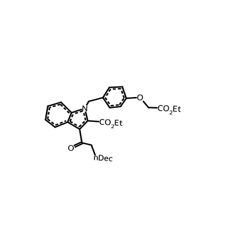 CCCCCCCCCCCC(=O)c1c(C(=O)OCC)n(Cc2ccc(OCC(=O)OCC)cc2)c2ccccc12